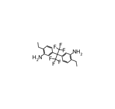 CCc1ccc(C(c2ccc(CC)c(N)c2)(C(F)(F)F)C(F)(F)F)cc1N